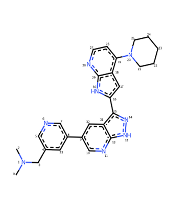 CN(C)Cc1cncc(-c2cnc3[nH]nc(-c4cc5c(N6CCCCC6)ccnc5[nH]4)c3c2)c1